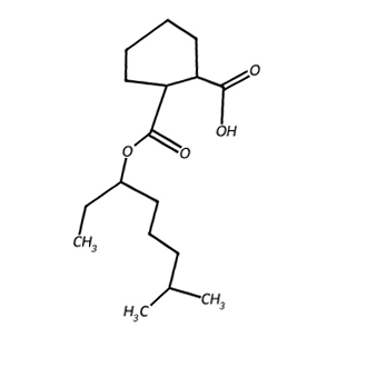 CCC(CCCC(C)C)OC(=O)C1CCCCC1C(=O)O